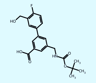 CC(C)(C)OC(=O)NCc1cc(C(=O)O)cc(-c2ccc(F)c(CO)c2)c1